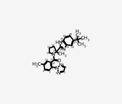 Cc1ccc(-n2nccn2)c(C(=O)N2CCCC2(C)c2nc3cc(C(C)(C)C)ccc3[nH]2)c1